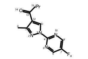 Cc1nn(-c2ncc(F)cn2)cc1C(=O)C(C)C